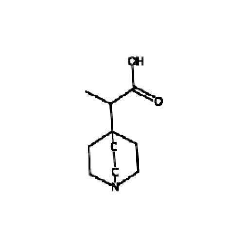 CC(C(=O)O)C12CCN(CC1)CC2